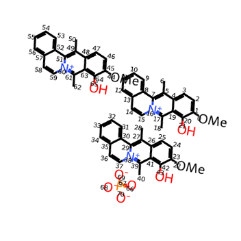 COc1ccc2c(C)c3c4ccccc4cc[n+]3c(C)c2c1O.COc1ccc2c(C)c3c4ccccc4cc[n+]3c(C)c2c1O.COc1ccc2c(C)c3c4ccccc4cc[n+]3c(C)c2c1O.O=P([O-])([O-])[O-]